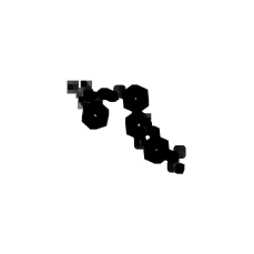 COC(=O)c1cccc(Cn2nc(-c3cccc(OCCn4c(N)nc5ccccc54)c3)ccc2=O)c1